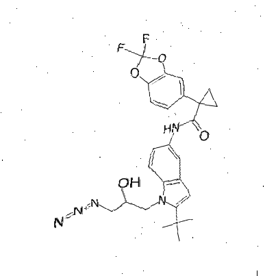 CC(C)(C)c1cc2cc(NC(=O)C3(c4ccc5c(c4)OC(F)(F)O5)CC3)ccc2n1CC(O)CN=[N+]=[N-]